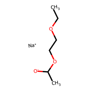 CCOCCOC(C)[O-].[Na+]